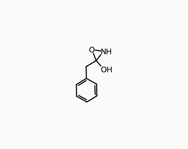 OC1(Cc2ccccc2)NO1